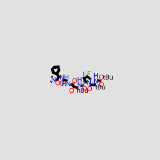 CCCCC(NC(=O)[C@@H]1CC(F)(F)CN1C(=O)[C@@H](NC(=O)OC(C)(C)C)C(C)(C)C)C(=O)C(=O)NCC(=O)N[C@H](C(=O)N(C)C)c1ccccc1